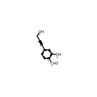 O=Cc1ccc(C#CCO)cc1O